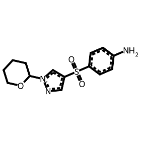 Nc1ccc(S(=O)(=O)c2cnn(C3CCCCO3)c2)cc1